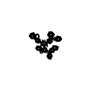 c1ccc(-n2c3ccccc3c3cc(-c4nc(-c5ccc6c(c5)oc5ccccc56)nc(-c5cc(-n6c7ccccc7c7cc8ccccc8cc76)cc6oc7ccccc7c56)n4)ccc32)cc1